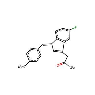 CSc1ccc(/C=C2\C=C(CC(=O)C(C)(C)C)c3cc(F)ccc32)cc1